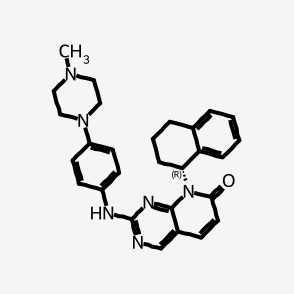 CN1CCN(c2ccc(Nc3ncc4ccc(=O)n([C@@H]5CCCc6ccccc65)c4n3)cc2)CC1